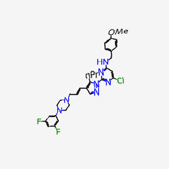 CCCc1c(C=CCN2CCN(c3cc(F)cc(F)c3)CC2)cnn1-c1nc(Cl)cc(NCc2ccc(OC)cc2)n1